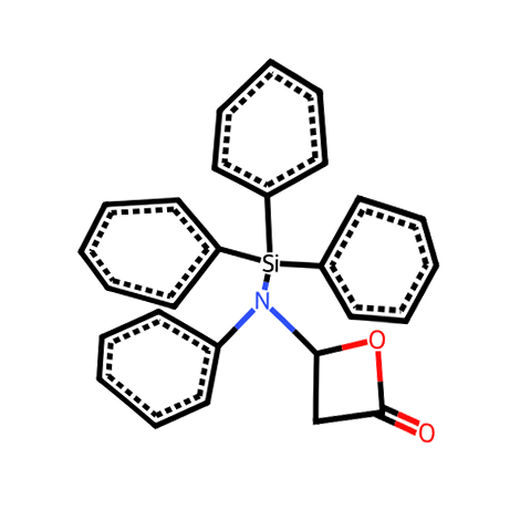 O=C1CC(N(c2ccccc2)[Si](c2ccccc2)(c2ccccc2)c2ccccc2)O1